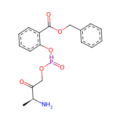 C[C@H](N)C(=O)CO[PH](=O)Oc1ccccc1C(=O)OCc1ccccc1